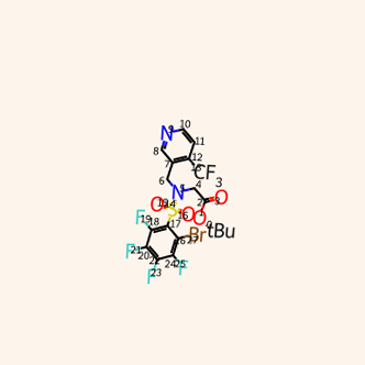 CC(C)(C)OC(=O)CN(Cc1cnccc1C(F)(F)F)S(=O)(=O)c1c(F)c(F)c(F)c(F)c1Br